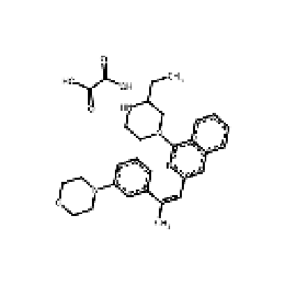 CCC1CN(c2nc(C=C(C)c3cccc(N4CCOCC4)c3)cc3ccccc23)CCN1.O=C(O)C(=O)O